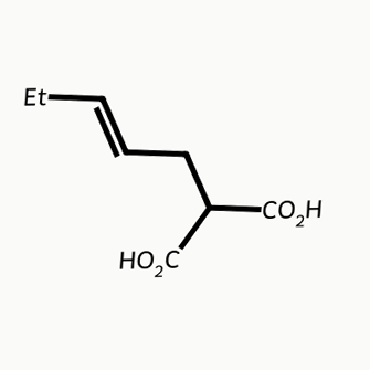 CCC=CCC(C(=O)O)C(=O)O